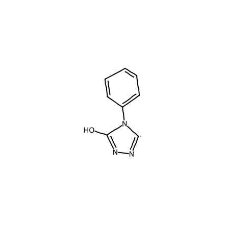 Oc1nn[c]n1-c1ccccc1